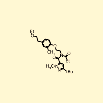 CCOCCc1ccc(OCCN(C(=O)CC)C(=O)c2cc(C(C)(C)C)nn2C)c(C)c1